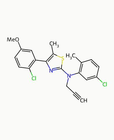 C#CCN(c1nc(-c2cc(OC)ccc2Cl)c(C)s1)c1cc(Cl)ccc1C